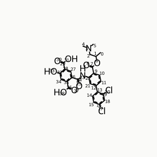 CC(CN(C)C)OC(=O)c1ccc(-c2ccc(Cl)cc2Cl)cc1NC(=O)c1cc(C(=O)O)c(O)cc1C(=O)O